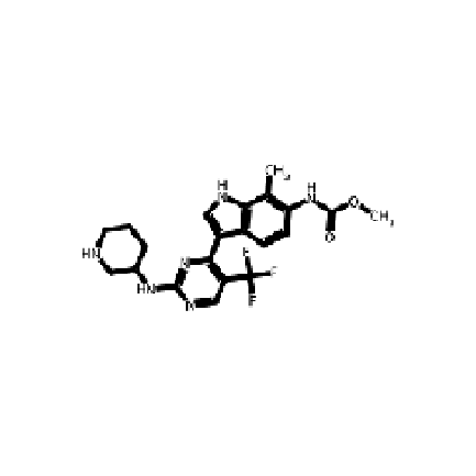 COC(=O)Nc1ccc2c(-c3nc(NC4CCCNC4)ncc3C(F)(F)F)c[nH]c2c1C